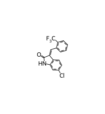 O=C1Nc2cc(Cl)ccc2/C1=C\c1ccccc1C(F)(F)F